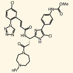 CCCN1CCCN(C(=O)C[C@H](NC(=O)/C=C/c2cc(Cl)ccc2-n2cnnn2)c2nc(-c3ccc(NC(=O)OC)cc3)c(Cl)[nH]2)CC1